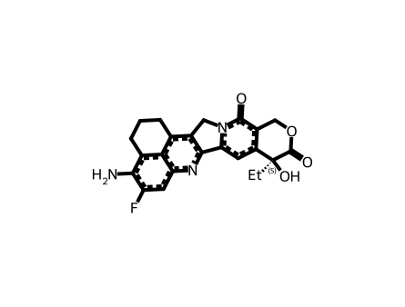 CC[C@@]1(O)C(=O)OCc2c1cc1n(c2=O)Cc2c-1nc1cc(F)c(N)c3c1c2CCC3